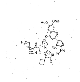 C=C[C@@H]1C[C@]1(NC(=O)[C@@H]1C[C@@H](Oc2cc(-c3csc(NC(C)C)n3)nc3cc(OC)c(OC)cc23)CN1C(=O)[C@@H](NC(=O)OC1CCCC1)C(C)(C)C)C(=O)O